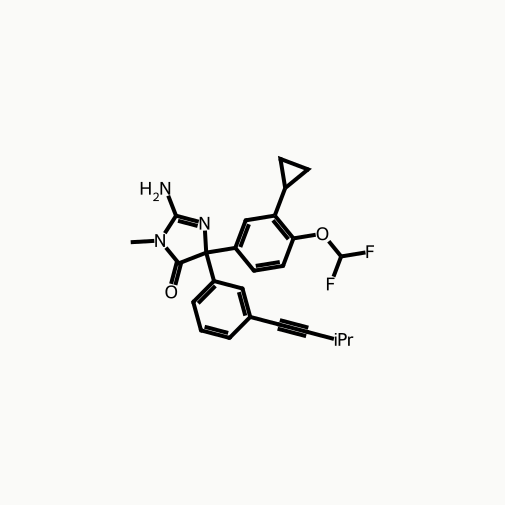 CC(C)C#Cc1cccc(C2(c3ccc(OC(F)F)c(C4CC4)c3)N=C(N)N(C)C2=O)c1